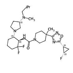 CC(C)CN(C)[C@H]1CCN([C@H]2CCCC(F)(F)[C@@H]2NC(=O)N2CCC(C)(c3noc([C@@H]4C[C@@H]4F)n3)CC2)C1